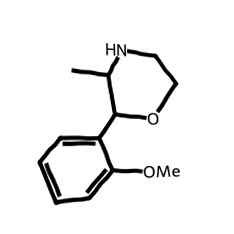 COc1ccccc1C1OCCNC1C